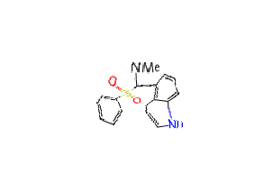 CNC(c1cccc2[nH]ccc12)S(=O)(=O)c1ccccc1